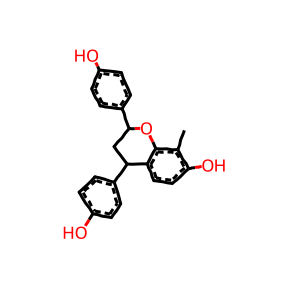 Cc1c(O)ccc2c1OC(c1ccc(O)cc1)CC2c1ccc(O)cc1